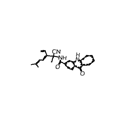 C=C/C(=C\C=C(C)C)C(C)(C#N)NC(=O)c1ccc2c(=O)c3ccccc3[nH]c2c1